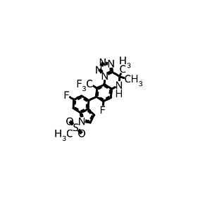 CC1(C)Nc2cc(F)c(-c3cc(F)cc4c3ccn4S(C)(=O)=O)c(C(F)(F)F)c2-n2nnnc21